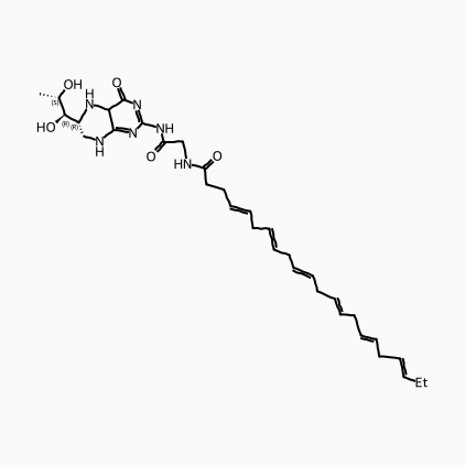 CCC=CCC=CCC=CCC=CCC=CCC=CCCC(=O)NCC(=O)NC1=NC(=O)C2N[C@@H]([C@@H](O)[C@H](C)O)CNC2=N1